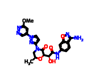 COc1cc(-n2ccc(N3C[C@H](C)O[C@H]([C@@H](O)C(=O)Nc4ccc5c(N)noc5c4)C3=O)n2)cnn1